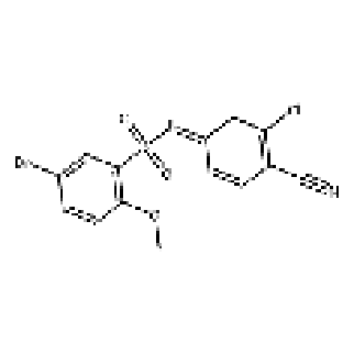 COc1ccc(Br)cc1S(=O)(=O)N=C1C=CC(C#N)=C(Cl)C1